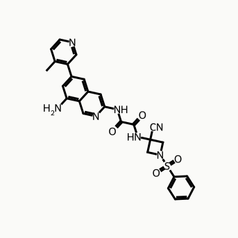 Cc1ccncc1-c1cc(N)c2cnc(NC(=O)C(=O)NC3(C#N)CN(S(=O)(=O)c4ccccc4)C3)cc2c1